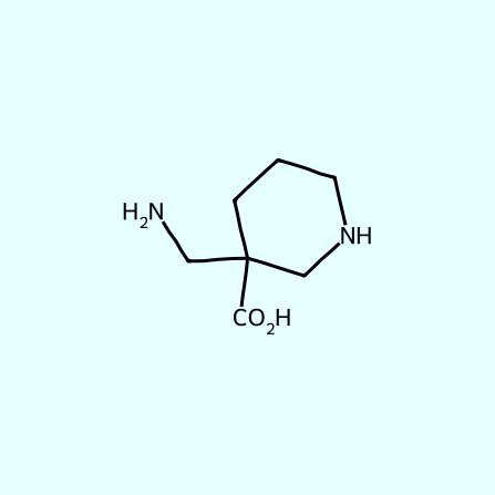 NCC1(C(=O)O)CCCNC1